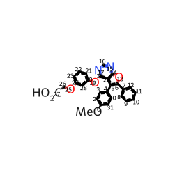 COc1ccc(-c2c(-c3ccccc3)oc3ncnc(Oc4cccc(OCC(=O)O)c4)c23)cc1